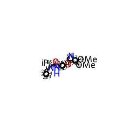 COc1cc2nccc(Oc3ccc(NC(=O)[C@@H](NCc4ccccc4)C(C)C)cc3)c2cc1OC